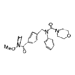 CONC(=O)c1ccc(CN(C(=O)N2CCOCC2)c2ccccc2)cc1